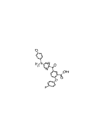 CN(c1ccc(Cl)cc1)c1cnc(C(=O)c2ccc(Oc3ccc(F)cc3)c(C(=O)O)c2)nc1